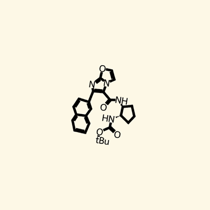 CC(C)(C)OC(=O)N[C@H]1CCC[C@@H]1NC(=O)c1c(-c2ccc3ccccc3c2)nc2occn12